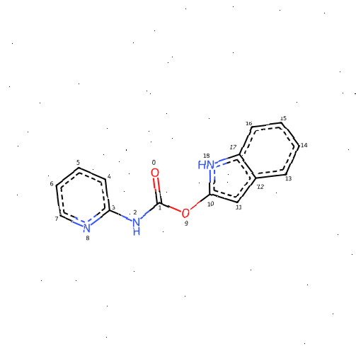 O=C(Nc1ccccn1)Oc1cc2ccccc2[nH]1